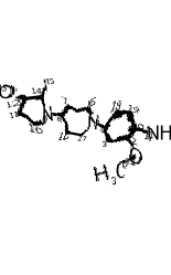 COc1cc(N2CCC(N3CCC(O)C3I)CC2)ccc1N